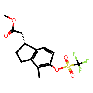 COC(=O)C[C@H]1CCc2c1ccc(OS(=O)(=O)C(F)(F)F)c2C